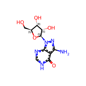 Nc1nn([C@H]2O[C@@H](CO)[C@H](O)[C@@H]2O)c2nc[nH]c(=O)c12